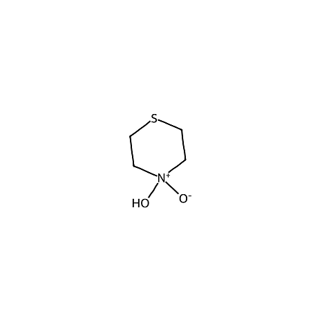 [O-][N+]1(O)CCSCC1